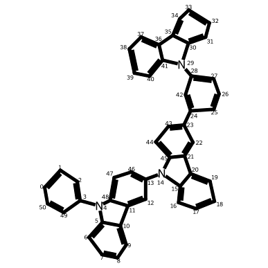 c1ccc(-n2c3ccccc3c3cc(-n4c5ccccc5c5cc(-c6cccc(-n7c8ccccc8c8ccccc87)c6)ccc54)ccc32)cc1